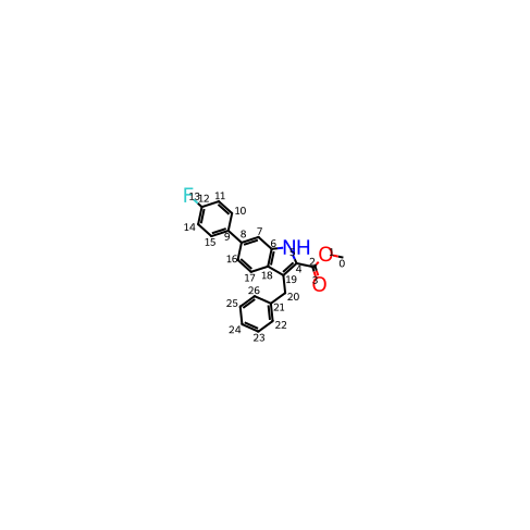 COC(=O)c1[nH]c2cc(-c3ccc(F)cc3)ccc2c1Cc1ccccc1